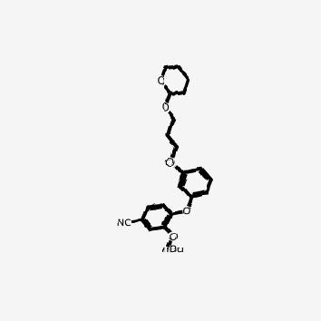 CCCCOc1cc(C#N)ccc1Oc1cccc(OCCCOC2CCCCO2)c1